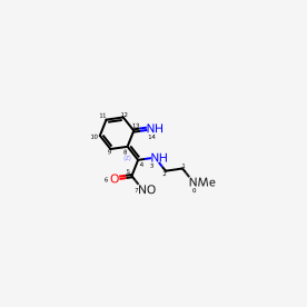 CNCCN/C(C(=O)N=O)=C1/C=CC=CC1=N